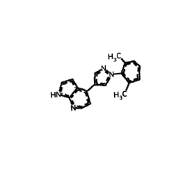 Cc1cccc(C)c1-n1cc(-c2ccnc3[nH]ccc23)cn1